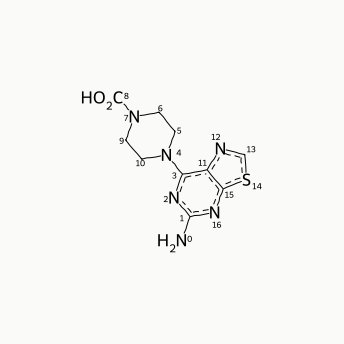 Nc1nc(N2CCN(C(=O)O)CC2)c2ncsc2n1